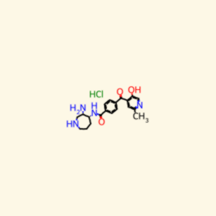 Cc1cc(C(=O)c2ccc(C(=O)N[C@@H]3CCCNC[C@H]3N)cc2)c(O)cn1.Cl